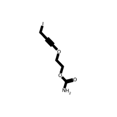 NC(=O)OCCOC#CCI